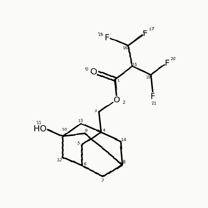 O=C(OCC12CC3CC(CC(O)(C3)C1)C2)C(C(F)F)C(F)F